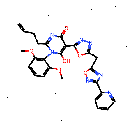 C=CCCc1nc(=O)c(-c2nnc(Cc3nc(-c4ccccn4)no3)o2)c(O)n1-c1c(OC)cccc1OC